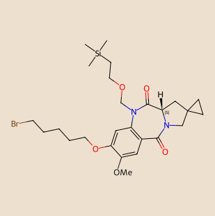 COc1cc2c(cc1OCCCCCBr)N(COCC[Si](C)(C)C)C(=O)[C@@H]1CC3(CC3)CN1C2=O